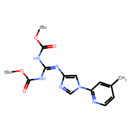 Cc1ccnc(-n2cnc(N=C(NC(=O)OC(C)(C)C)NC(=O)OC(C)(C)C)c2)c1